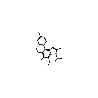 CCc1c(C)c2c3c(cc(C)n3C(C)CN2C)c1-c1ccc(C)cc1